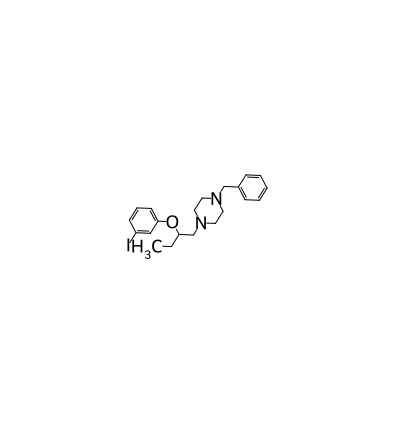 CCC(CN1CCN(Cc2ccccc2)CC1)Oc1cccc(I)c1